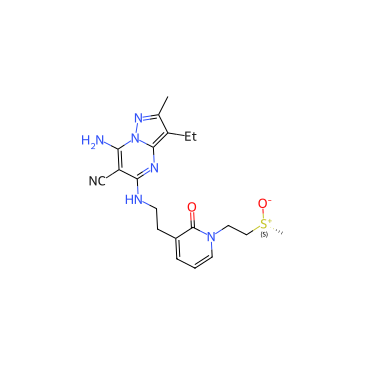 CCc1c(C)nn2c(N)c(C#N)c(NCCc3cccn(CC[S@@+](C)[O-])c3=O)nc12